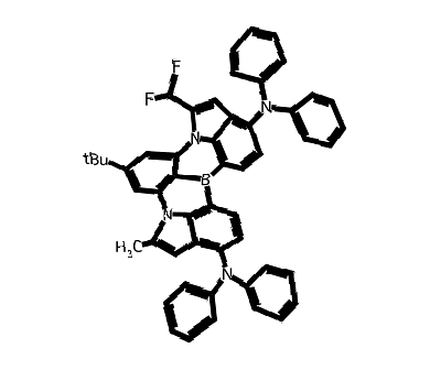 Cc1cc2c(N(c3ccccc3)c3ccccc3)ccc3c2n1-c1cc(C(C)(C)C)cc2c1B3c1ccc(N(c3ccccc3)c3ccccc3)c3cc(C(F)F)n-2c13